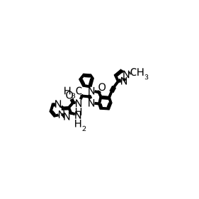 CC(NC(=O)c1c(N)nn2cccnc12)c1nc2cccc(C#Cc3ccn(C)n3)c2c(=O)n1-c1ccccc1